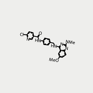 CNc1nc(NCc2ccc(NC(=O)c3ccc(Cl)nc3)cc2)c2cc(OC)ccc2n1